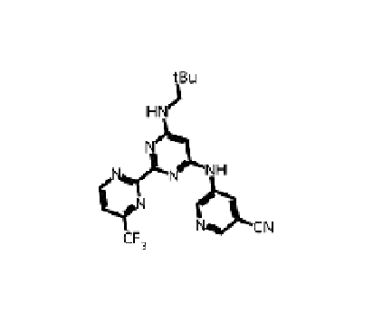 CC(C)(C)CNc1cc(Nc2cncc(C#N)c2)nc(-c2nccc(C(F)(F)F)n2)n1